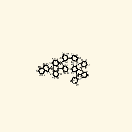 c1ccc(N2c3ccccc3B3c4ccccc4N(c4cccc(-c5cccc(N6c7ccccc7B7c8ccccc8N(c8ccc9ccccc9c8)c8cccc6c87)c5)c4)c4cccc2c43)cc1